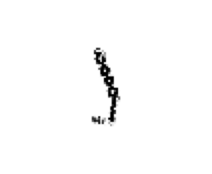 [CH2-][C+]1CCC(c2ccc(-c3ccc(C4CCC(OCCCCCCOC)CC4)cc3)cc2)CC1